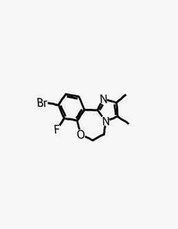 Cc1nc2n(c1C)CCOc1c-2ccc(Br)c1F